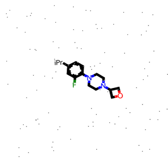 CC(C)c1ccc(N2CCN(C3COC3)CC2)c(F)c1